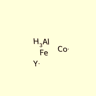 [AlH3].[Co].[Fe].[Y]